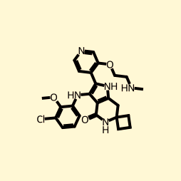 CNCCOc1cnccc1-c1[nH]c2c(c1Nc1cccc(Cl)c1OC)C(=O)NC1(CCC1)C2